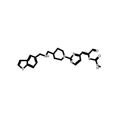 CNC(=O)S/C(C=O)=C\c1ccnc(N2CCC(CNCc3ccc4sccc4c3)CC2)n1